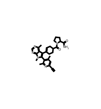 C#Cc1cc(C)c(-c2c(C3=CCC(C(=O)N4CCCC4C(N)=O)CC3)c3c(C)ncnc3n2C)c(C)n1